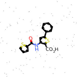 O=C(Nc1cc(-c2ccccc2)sc1C(=O)O)c1cccs1